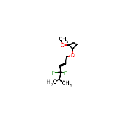 COC1CCC1OC/C=C/C(F)(F)C(C)C